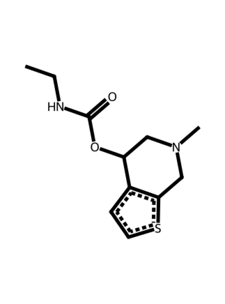 CCNC(=O)OC1CN(C)Cc2sccc21